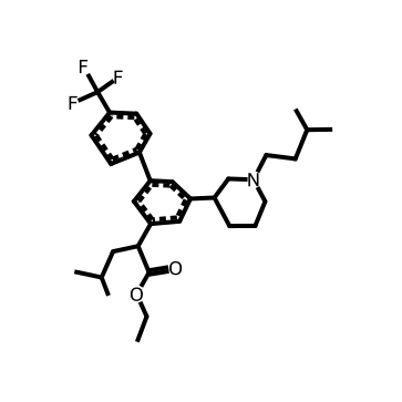 CCOC(=O)C(CC(C)C)c1cc(-c2ccc(C(F)(F)F)cc2)cc(C2CCCN(CCC(C)C)C2)c1